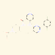 COc1cnc(-c2cc(Cl)ccc2F)nc1Nc1ccncc1C(=O)NC1CCN(C2OC2OC(C)(C)C)CC1